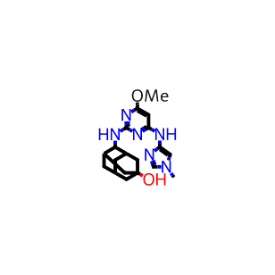 COc1cc(Nc2cn(C)cn2)nc(NC2C3CC4CC2CC(O)(C4)C3)n1